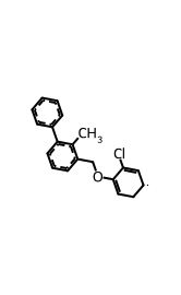 Cc1c(COC2=CC[CH]C=C2Cl)cccc1-c1ccccc1